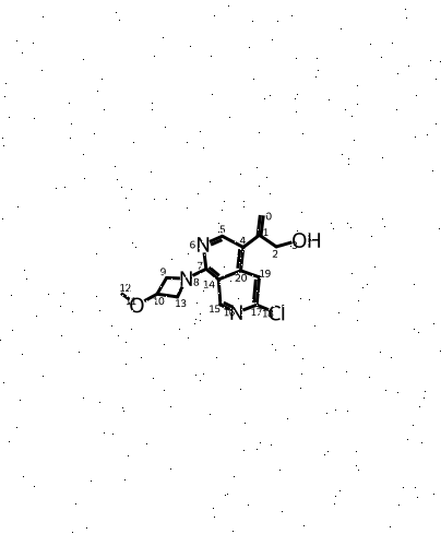 C=C(CO)c1cnc(N2CC(OC)C2)c2cnc(Cl)cc12